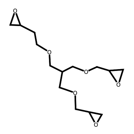 C(CC1CO1)OCC(COCC1CO1)COCC1CO1